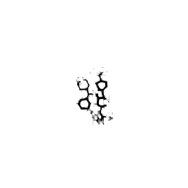 COC(=O)c1ccc2c3ncc(-c4c(OC)nnn4C)cc3n(C(c3ccccc3)C3CCOCC3)c2c1